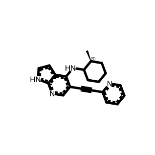 C[C@H]1CCCCC1Nc1c(C#Cc2ccccn2)cnc2[nH]ccc12